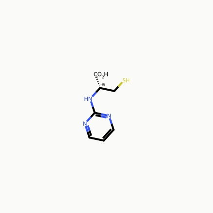 O=C(O)[C@H](CS)Nc1ncccn1